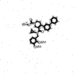 COc1cccc(CN(C(=O)C2=C(c3cccc(-c4ccccc4)c3)CCN(C(=O)OC(C)(C)C)C2)C2CC2)c1OC